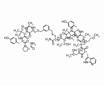 COCCOCC(C)(NC(=O)[C@H](Cc1c[nH]c2ncccc12)NC(=O)C[C@@H](C)O)C(=O)N[C@@H](C)C(=O)N[C@@H](Cc1ccc(O)cc1)C(=O)NC(C)(C(=O)N[C@H](C(=O)N[C@H](CSCc1cccc(CSC[C@H](NC(C)=O)C(=O)N[C@H](C(=O)N[C@@H](Cc2ccc(O)cc2)C(=O)N2CCC[C@H]2C(N)=O)C(C)(C)C)c1)C(N)=O)[C@@H](C)O)C(C)C